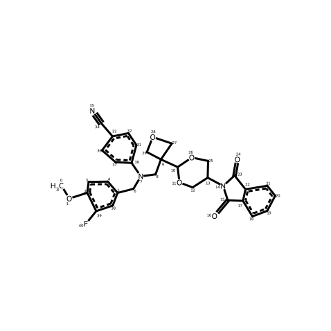 COc1ccc(CN(CC2(C3OCC(N4C(=O)c5ccccc5C4=O)CO3)COC2)c2ccc(C#N)cc2)cc1F